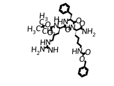 CC(C)(C)OC(=O)N[C@H](CCCNC(=N)N)C(=O)N[C@@H](Cc1ccccc1)C(=O)N[C@@H](CCCCNC(=O)OCc1ccccc1)C(N)=O